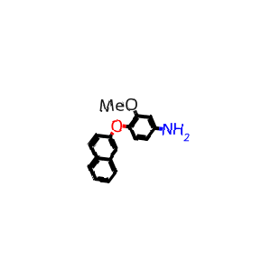 COc1cc(N)ccc1Oc1ccc2ccccc2c1